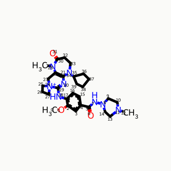 COc1cc(C(=O)NN2CCN(C)CC2)ccc1NC1=NC2=C(C[N+]13CCC3)N(C)C(=O)CCN2C1CCCC1